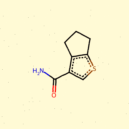 NC(=O)c1csc2c1CCC2